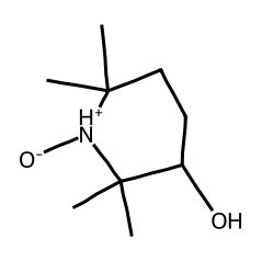 CC1(C)CCC(O)C(C)(C)[NH+]1[O-]